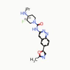 Cc1ncc(-c2ccc3nnc(NC(=O)N4CC[C@H](NC(C)C)[C@@H](F)C4)cc3c2)o1